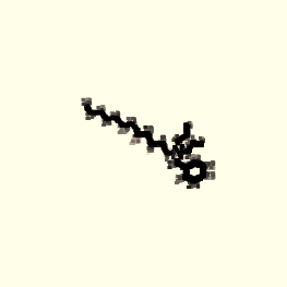 C=CC[N+](CC=C)(CCCCCCCCCCCC)Cc1ccccc1